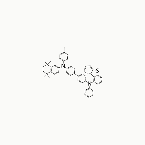 Cc1ccc(N(c2ccc(-c3ccc(N(c4ccccc4)c4cccc5sc6ccccc6c45)cc3)cc2)c2ccc3c(c2)C(C)(C)CCC3(C)C)cc1